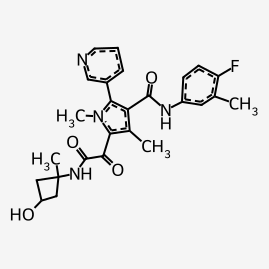 Cc1cc(NC(=O)c2c(C)c(C(=O)C(=O)NC3(C)CC(O)C3)n(C)c2-c2cccnc2)ccc1F